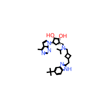 Cc1ncnc2c1ccn2[C@@H]1C[C@H](CN(CC2CC(Cc3nc4cc(C(C)(C)C)ccc4[nH]3)C2)C(C)C)[C@@H](O)[C@H]1O